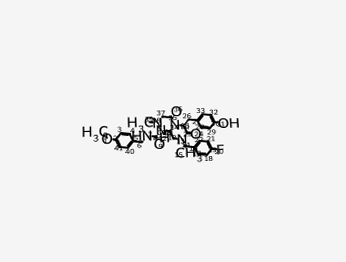 COc1ccc(CNC(=O)N2[C@H]3CN(C(C)c4ccc(F)cc4)C(=O)[C@H](Cc4ccc(O)cc4)N3C(=O)CN2C)cc1